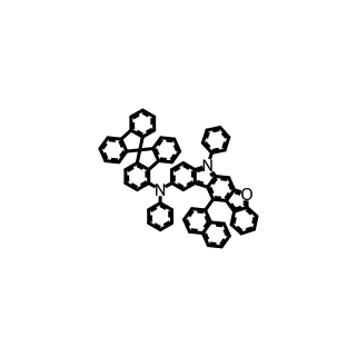 c1ccc(N(c2ccc3c(c2)c2c(-c4cccc5ccccc45)c4c(cc2n3-c2ccccc2)oc2ccccc24)c2cccc3c2-c2ccccc2C32c3ccccc3-c3ccccc32)cc1